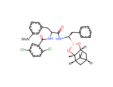 CNc1cccc(CC(NC(=O)c2cc(Cl)ccc2Cl)C(=O)N[C@@H](Cc2ccccc2)B2O[C@@H]3C[C@@H]4C[C@@H](C4(C)C)[C@]3(C)O2)c1